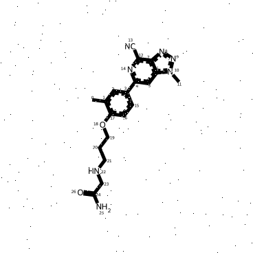 Cc1cc(-c2cc3c(nnn3C)c(C#N)n2)ccc1OCCCNCC(N)=O